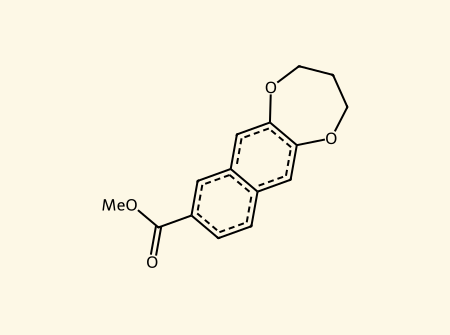 COC(=O)c1ccc2cc3c(cc2c1)OCCCO3